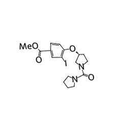 COC(=O)c1ccc(O[C@H]2CCN(C(=O)N3CCCC3)C2)c(I)c1